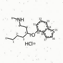 CCCCC(CCNC)Oc1cccc2sccc12.Cl